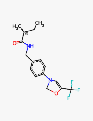 CC[C@H](C)C(=O)NCc1ccc(N2C=C(C(F)(F)F)OC2)cc1